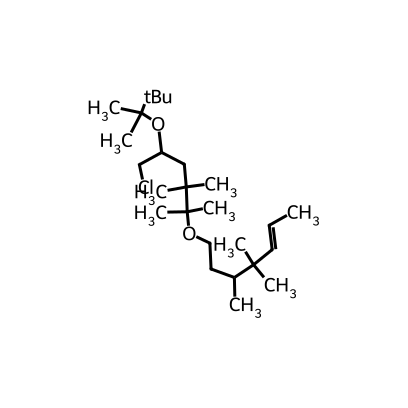 CC=CC(C)(C)C(C)CCOC(C)(C)C(C)(C)CC(CCl)OC(C)(C)C(C)(C)C